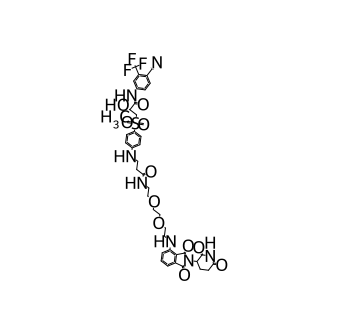 CC(O)(CS(=O)(=O)c1ccc(NCCC(=O)NCCOCCOCCNc2cccc3c2C(=O)N(C2CCC(=O)NC2=O)C3=O)cc1)C(=O)Nc1ccc(C#N)c(C(F)(F)F)c1